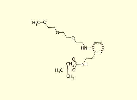 COCCOCCOCCNc1ccccc1CCNC(=O)OC(C)(C)C